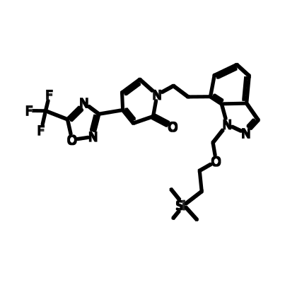 C[Si](C)(C)CCOCn1ncc2cccc(CCn3ccc(-c4noc(C(F)(F)F)n4)cc3=O)c21